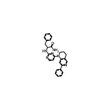 NC(=O)C(Cc1ccccc1)Nc1nccc(N2CCCc3cnc(-c4ccccc4)cc32)n1